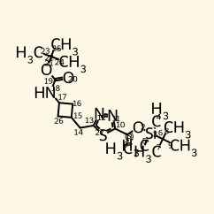 C[C@H](O[Si](C)(C)C(C)(C)C)c1nnc(CC2CC(NC(=O)OC(C)(C)C)C2)s1